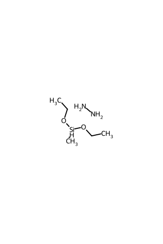 CCO[SiH](C)OCC.NN